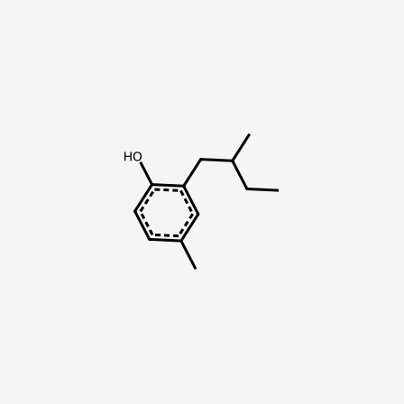 CCC(C)Cc1cc(C)ccc1O